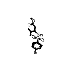 COC(=O)CC(NS(=O)(=O)c1ccc(Br)cc1)C(C)C